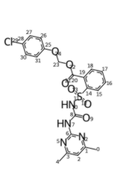 Cc1cc(C)nc(NC(=O)NS(=O)(=O)c2ccccc2C(=O)OCOc2ccc(Cl)cc2)n1